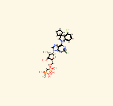 O=P(O)(O)CP(=O)(O)OC[C@H]1O[C@@H](n2cnc3c(N4CC5(CCCC5)c5c(F)cccc54)nc(Cl)nc32)[C@@H](O)C1O